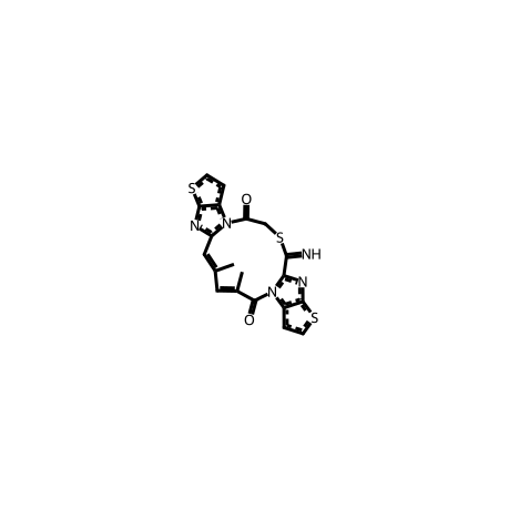 CC1=C\c2nc3sccc3n2C(=O)CSC(=N)c2nc3sccc3n2C(=O)\C(C)=C\1